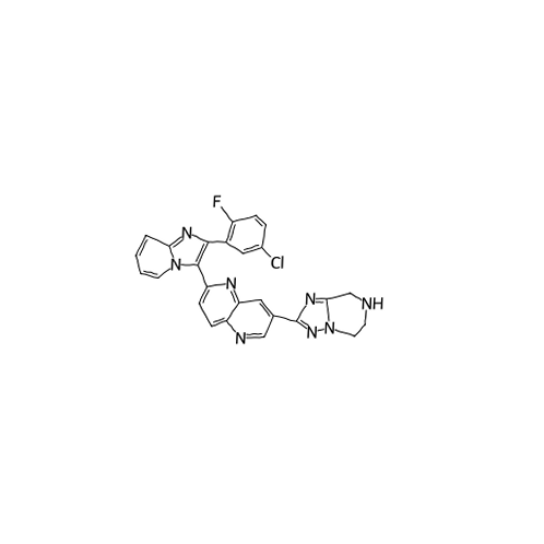 Fc1ccc(Cl)cc1-c1nc2ccccn2c1-c1ccc2ncc(-c3nc4n(n3)CCNC4)cc2n1